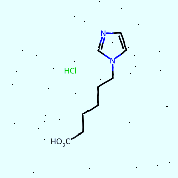 Cl.O=C(O)CCCCCn1ccnc1